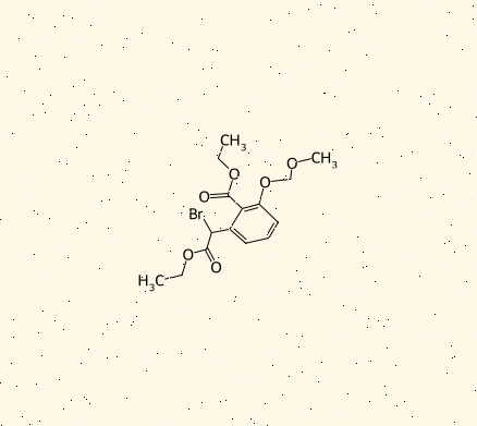 CCOC(=O)c1c(OCOC)cccc1C(Br)C(=O)OCC